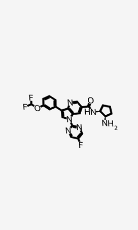 N[C@@H]1CCC[C@@H]1NC(=O)c1cnc2c(-c3cccc(OC(F)F)c3)cn(-c3ncc(F)cn3)c2c1